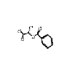 O=C(OC(Cl)C(Cl)Cl)c1ccccc1